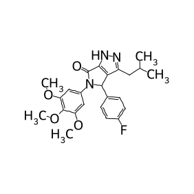 COc1cc(N2C(=O)c3[nH]nc(CC(C)C)c3C2c2ccc(F)cc2)cc(OC)c1OC